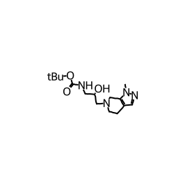 Cn1ncc2c1CN(C[C@@H](O)CNC(=O)OC(C)(C)C)CC2